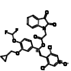 O=C(CN1C(=O)C(=O)c2ccccc21)O[C@@H](Cc1c(Cl)c[n+]([O-])cc1Cl)c1ccc(OC(F)F)c(OCC2CC2)c1